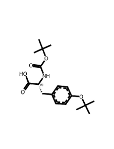 CC(C)(C)OC(=O)N[C@H](Cc1ccc(OC(C)(C)C)cc1)C(=O)O